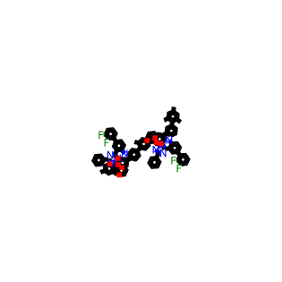 Cc1ccc(-c2ccc3c4ccc(-c5ccc(Cc6ccc7c(c6)c6cc(-c8c(C)cc(C)cc8C)ccc6n7-c6ccc(-c7cccc(F)c7F)cc6-c6nc(-c7ccccc7)nc(-c7ccccc7)n6)cc5C)cc4n(-c4ccc(-c5cccc(F)c5F)cc4-c4nc(-c5ccccc5)nc(-c5ccccc5)n4)c3c2)c(C)c1